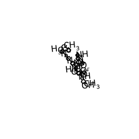 CC(C)c1ccccc1[C@@H]1COCCN1C1CC2(CCN(c3ccc(C(=O)NS(=O)(=O)c4ccc(NCC5CCC(C)(O)CC5)c([N+](=O)[O-])c4)c(N4C[C@H]5COCCN5c5nc6[nH]ccc6cc54)c3)CC2)C1